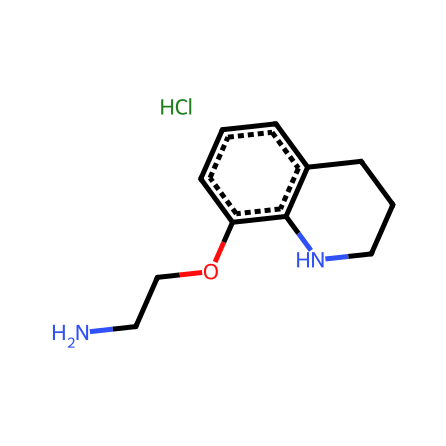 Cl.NCCOc1cccc2c1NCCC2